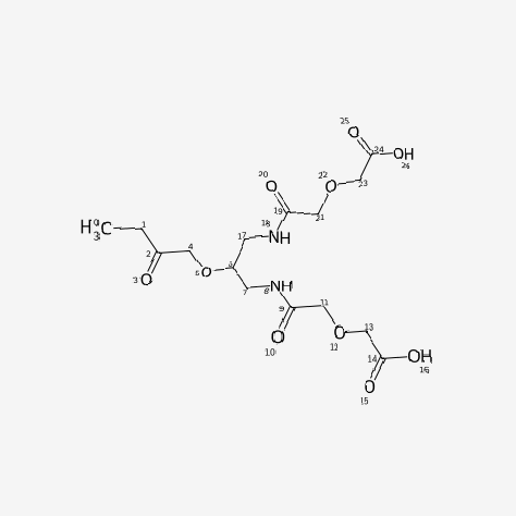 CCC(=O)COC(CNC(=O)COCC(=O)O)CNC(=O)COCC(=O)O